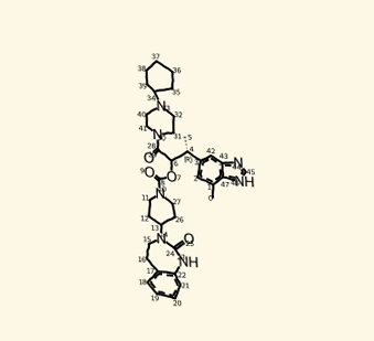 Cc1cc([C@@H](C)C(OC(=O)N2CCC(N3CCc4ccccc4NC3=O)CC2)C(=O)N2CCN(C3CCCCC3)CC2)cc2nc[nH]c12